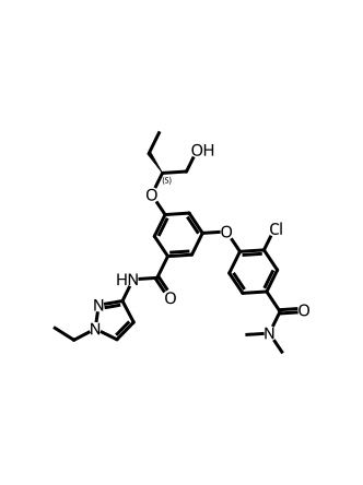 CC[C@@H](CO)Oc1cc(Oc2ccc(C(=O)N(C)C)cc2Cl)cc(C(=O)Nc2ccn(CC)n2)c1